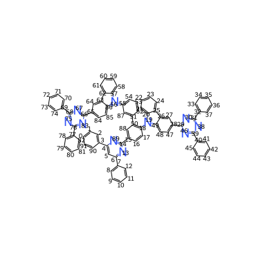 c1ccc(-c2cc(-c3ccccc3)nc(-c3ccc(-n4c5ccccc5c5cc(-c6nc(-c7ccccc7)nc(-c7ccccc7)n6)ccc54)c(-c4cccc(-n5c6ccccc6c6cc(-c7nc(-c8ccccc8)nc(-c8ccccc8)n7)ccc65)c4)c3)n2)cc1